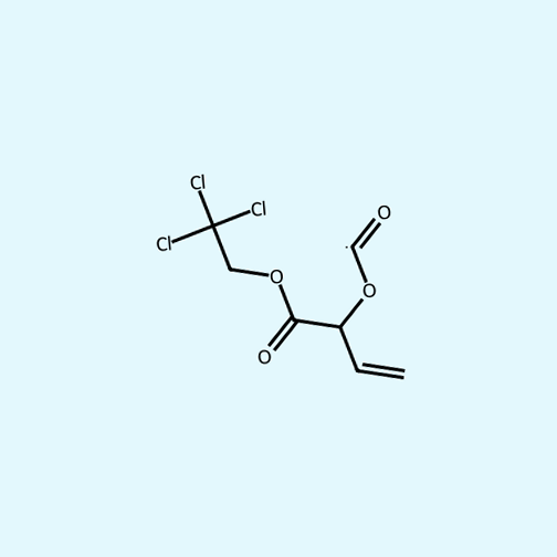 C=CC(O[C]=O)C(=O)OCC(Cl)(Cl)Cl